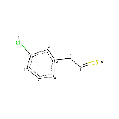 S=CCc1cccc(Cl)c1